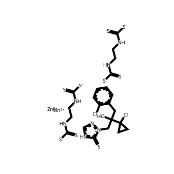 OC(Cc1ccccc1Cl)(Cn1nc[nH]c1=S)C1(Cl)CC1.S=C([S-])NCCNC(=S)[S-].S=C([S-])NCCNC(=S)[S-].[Mn+2].[Zn+2]